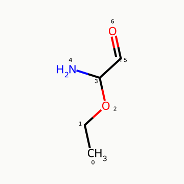 CCOC(N)[C]=O